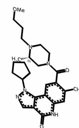 COCCCN1CCN(C(=O)c2cc3c(cc2C)[nH]c(=O)c2cnn(C4CCCC4)c23)C[C@@H]1C